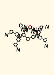 N#Cc1cccc(-c2ccc3c(c2)c2cc(-c4cccc(C#N)c4)ccc2n3-c2cc(-c3cccc(-c4ccc(-n5c6ccc(-c7cccc(C#N)c7)cc6c6cc(-c7cccc(C#N)c7)ccc65)c(-c5nc(-c6ccccc6)nc(-c6ccccc6)n5)c4)c3)cc(-c3nc(-c4ccccc4)nc(-c4ccccc4)n3)c2)c1